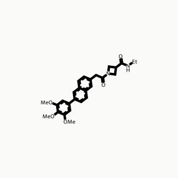 CCNC(=O)C1CN(C(=O)Cc2ccc3cc(-c4cc(OC)c(OC)c(OC)c4)ccc3c2)C1